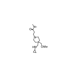 COCC1(CNC2CC2)CCN(CCC(=O)N(C)C)CC1